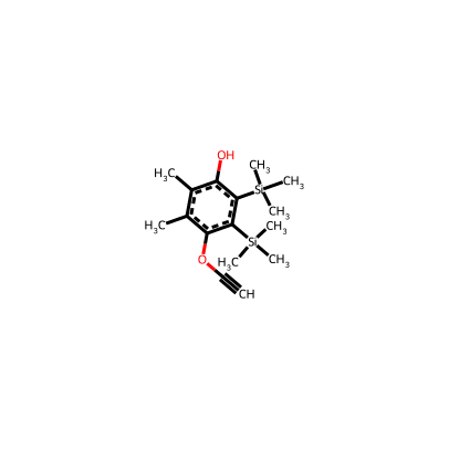 C#COc1c(C)c(C)c(O)c([Si](C)(C)C)c1[Si](C)(C)C